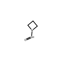 O=[SH]N1CCC1